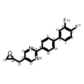 Fc1ccc(-c2ccc(-c3ncc(CC4CO4)cn3)cc2)cc1F